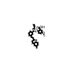 C#CCO[C@H](COc1ccc(OC)cc1C(=O)O)c1cccc(/C=C/c2ccc3cc(F)ccc3n2)c1